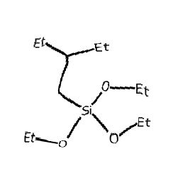 CCO[Si](CC(CC)CC)(OCC)OCC